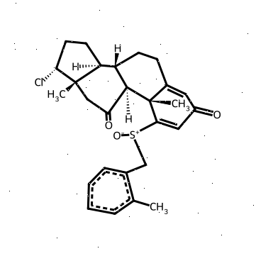 Cc1ccccc1C[S+]([O-])C1=CC(=O)C=C2CC[C@@H]3[C@H](C(=O)C[C@]4(C)[C@H](Cl)CC[C@@H]34)[C@]21C